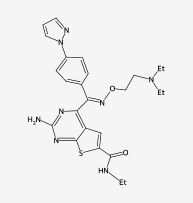 CCNC(=O)c1cc2c(C(=NOCCN(CC)CC)c3ccc(-n4cccn4)cc3)nc(N)nc2s1